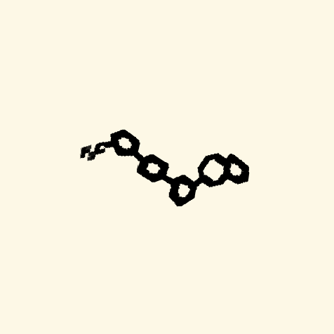 FC(F)(F)c1cccc(-c2ccc(-c3cccc(/C4=C/C=c5/cccc/c5=C/CC4)c3)cc2)c1